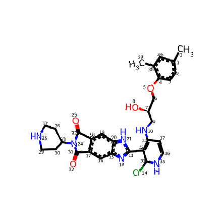 Cc1ccc(OC[C@H](O)CNC2=C(c3nc4cc5c(cc4[nH]3)C(=O)N(C3CCNCC3)C5=O)C(Cl)NC=C2)c(C)c1